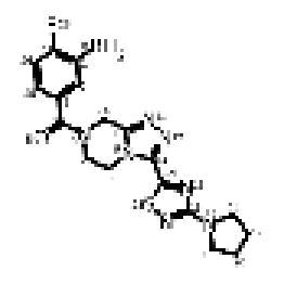 Bc1cc(C(=O)N2CCn3c(nnc3-c3nc(N4CCCC4)ns3)C2)ccc1F